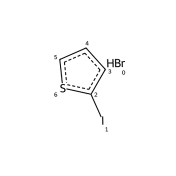 Br.Ic1cccs1